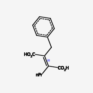 CCC/C(C(=O)O)=C(/Cc1ccccc1)C(=O)O